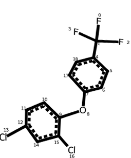 FC(F)(F)c1c[c]c(Oc2ccc(Cl)cc2Cl)cc1